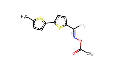 CC(=O)O/N=C(\C)c1ccc(-c2ccc(C)s2)s1